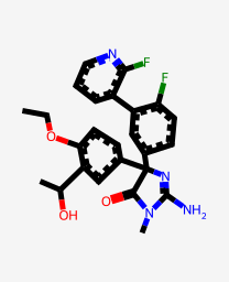 CCOc1ccc(C2(c3ccc(F)c(-c4cccnc4F)c3)N=C(N)N(C)C2=O)cc1C(C)O